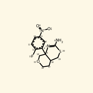 NC1=NC2(c3cc([N+](=O)[O-])ccc3F)COCCC2CS1